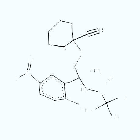 CC(C)(C)[S@@+]([O-])N[C@](C)(CSC1(C#N)CCCCC1)c1cc([N+](=O)[O-])ccc1F